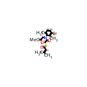 COC(=O)CN(C(=O)CSC(=O)C=C(C)C)c1c(C)ccc(Br)c1C